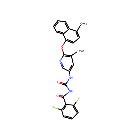 COc1cc(NC(=O)NC(=O)c2c(F)cccc2F)cnc1Oc1ccc(OC)c2ccccc12